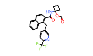 O=COC1(NC(=O)c2ccc3ccccc3c2Cc2ccc(C(F)(F)F)nc2)CCC1